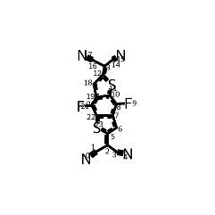 N#CC(C#N)=c1cc2c(F)c3sc(=C(C#N)C#N)cc3c(F)c2s1